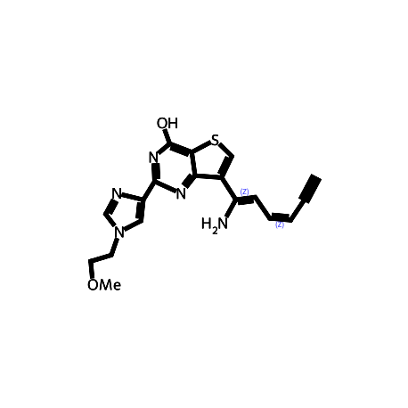 C#C/C=C\C=C(/N)c1csc2c(O)nc(-c3cn(CCOC)cn3)nc12